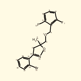 CC1(COCc2c(F)cccc2F)CC(c2ccccc2Br)=NO1